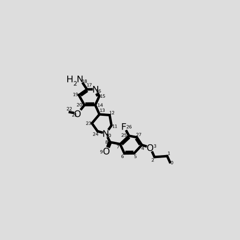 CCCOc1ccc(C(=O)N2CCC(c3cnc(N)cc3OC)CC2)c(F)c1